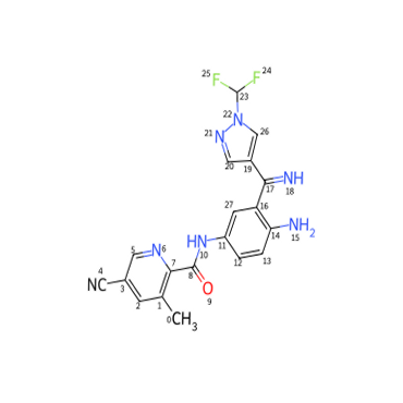 Cc1cc(C#N)cnc1C(=O)Nc1ccc(N)c(C(=N)c2cnn(C(F)F)c2)c1